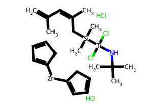 C1=CC[C]([Zr][C]2=CC=CC2)=C1.C=C(C)C=C(C)C[Si](C)(C)[Ti]([Cl])([Cl])[NH]C(C)(C)C.Cl.Cl